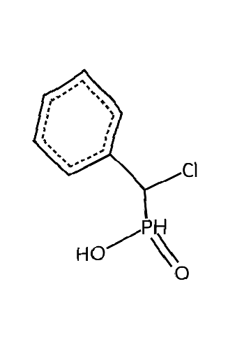 O=[PH](O)C(Cl)c1ccccc1